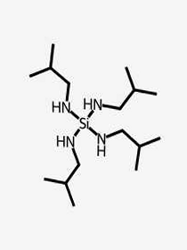 CC(C)CN[Si](NCC(C)C)(NCC(C)C)NCC(C)C